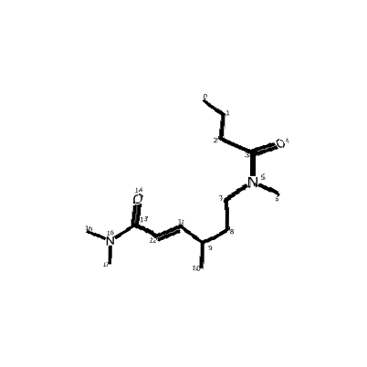 CCCC(=O)N(C)CCC(C)C=CC(=O)N(C)C